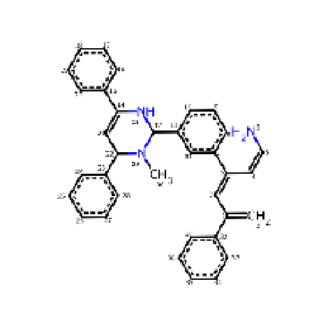 C=C(/C=C(\C=C/N)c1cccc(C2NC(c3ccccc3)=CC(c3ccccc3)N2C)c1)c1ccccc1